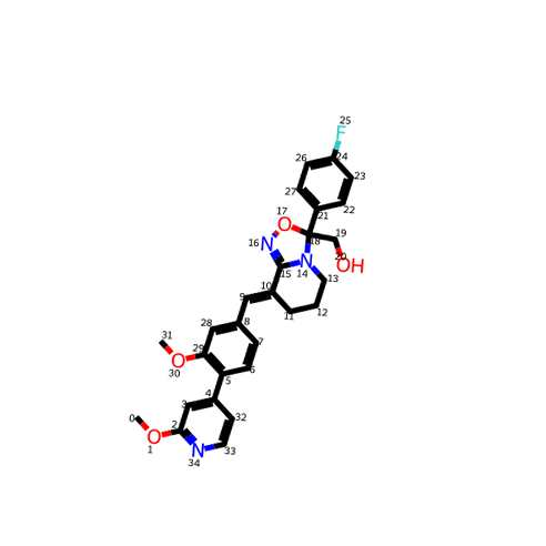 COc1cc(-c2ccc(/C=C3\CCCN4C3=NOC4(CO)c3ccc(F)cc3)cc2OC)ccn1